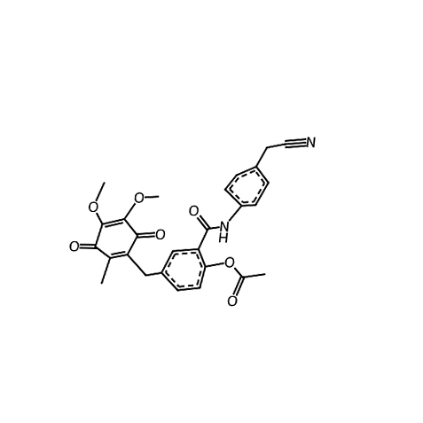 COC1=C(OC)C(=O)C(Cc2ccc(OC(C)=O)c(C(=O)Nc3ccc(CC#N)cc3)c2)=C(C)C1=O